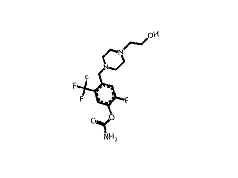 NC(=O)Oc1cc(C(F)(F)F)c(CN2CCN(CCO)CC2)cc1F